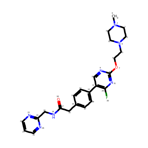 CN1CCN(CCOc2ncc(-c3ccc(CC(=O)NCc4ncccn4)cc3)c(F)n2)CC1